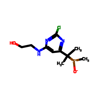 C[S+]([O-])C(C)(C)c1cc(NCCO)nc(Cl)n1